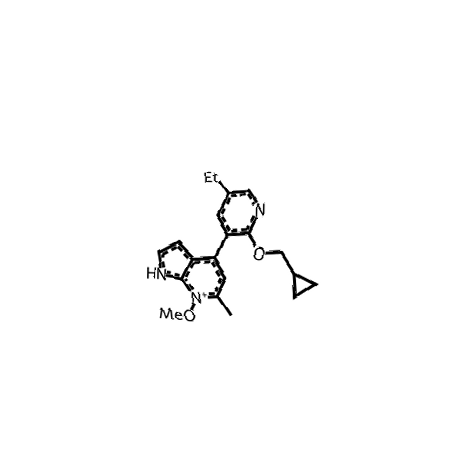 CCc1cnc(OCC2CC2)c(-c2cc(C)[n+](OC)c3[nH]ccc23)c1